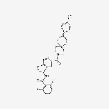 O=C(NC1CCc2ccc(C(=O)N3CCC4(CC3)CCN(c3ccc(C(F)(F)F)cc3)CC4)cc21)c1c(F)cccc1Cl